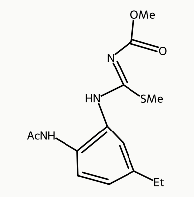 CCc1ccc(NC(C)=O)c(N/C(=N/C(=O)OC)SC)c1